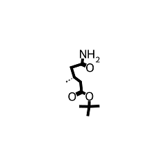 C[C@H](CC(N)=O)CC(=O)OC(C)(C)C